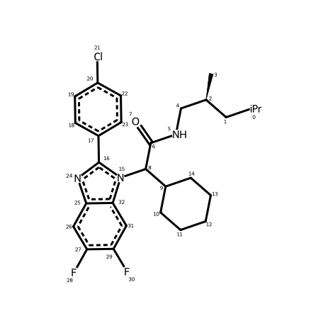 CC(C)C[C@H](C)CNC(=O)C(C1CCCCC1)n1c(-c2ccc(Cl)cc2)nc2cc(F)c(F)cc21